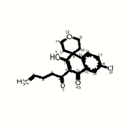 C=CCCC(=O)C1=C(O)C2(CCOCC2)c2ccc(Cl)cc2C1=O